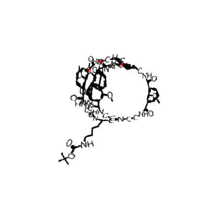 COc1c2cccc1C(=O)NCc1cc3c4cc1CNC(=O)c1cccc(c1OC)C(=O)NCCN(CCNC(=O)c1cccc(c1OC)C(=O)NC4)C(CCCCNC(=O)OC(C)(C)C)CN(CCNC2=O)CCNC(=O)c1cccc(c1OC)C(=O)NC3